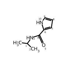 CC(C)NC(=O)c1ccc[nH]1